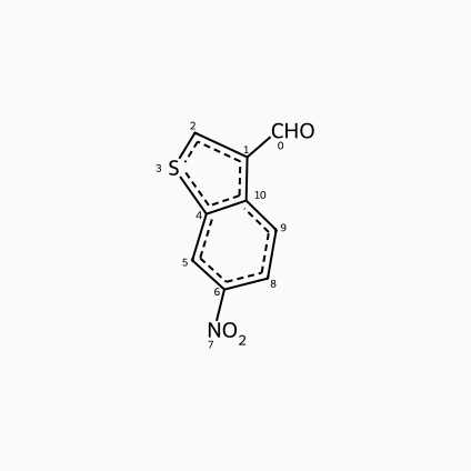 O=Cc1csc2cc([N+](=O)[O-])ccc12